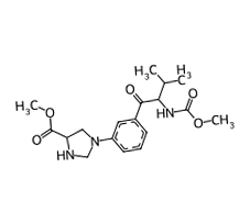 COC(=O)NC(C(=O)c1cccc(N2CNC(C(=O)OC)C2)c1)C(C)C